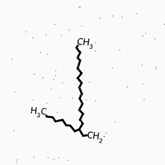 [CH2]CC(CCCCCCCC)CCCCCCCCCCCCCCCCC